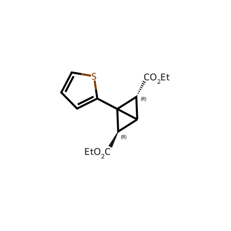 CCOC(=O)[C@@H]1C2[C@@H](C(=O)OCC)C21c1cccs1